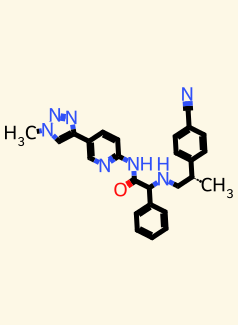 C[C@H](CNC(C(=O)Nc1ccc(-c2cn(C)nn2)cn1)c1ccccc1)c1ccc(C#N)cc1